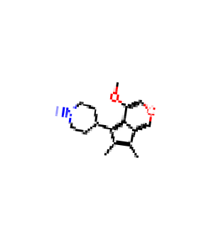 COc1cocc2c(C)c(C)c(C3CCNCC3)c1-2